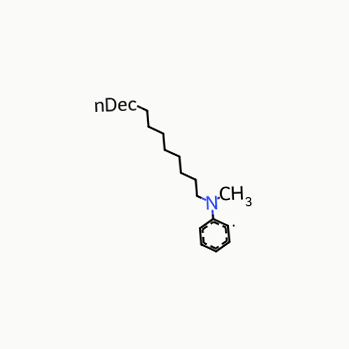 CCCCCCCCCCCCCCCCCCN(C)c1[c]cccc1